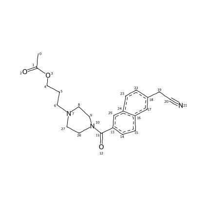 CC(=O)OCCCN1CCN(C(=O)c2ccc3cc(CC#N)ccc3c2)CC1